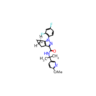 COc1ccc(C(C)(C)NC(=O)c2nn(-c3ccc(F)cc3F)c3c2C[C@H]2C[C@@H]32)cn1